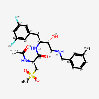 CCCCS(=O)(=O)C[C@@H](NC(=O)C(F)(F)F)C(=O)N[C@@H](Cc1cc(F)cc(F)c1)[C@H](O)CNCc1cccc(CC)c1